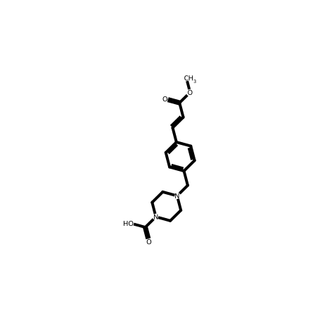 COC(=O)/C=C/c1ccc(CN2CCN(C(=O)O)CC2)cc1